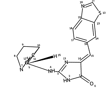 O=C1NC(N[C@H]2CN3CCC2CC3)=N/C1=C\c1ccc2ncsc2c1